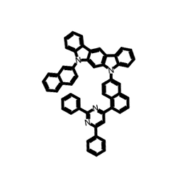 c1ccc(-c2cc(-c3cccc4cc(-n5c6ccccc6c6cc7c8ccccc8n(-c8ccc9ccccc9c8)c7cc65)ccc34)nc(-c3ccccc3)n2)cc1